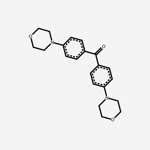 O=C(c1ccc(N2CCOCC2)cc1)c1ccc(N2CCOCC2)cc1